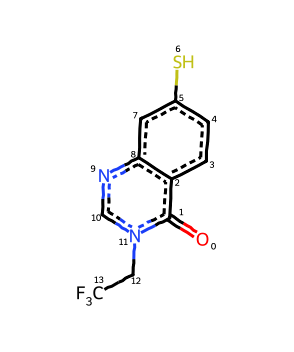 O=c1c2ccc(S)cc2ncn1CC(F)(F)F